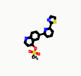 CS(=O)(=O)Oc1ccnc2ccc(-c3cccc(-c4nccs4)n3)cc12